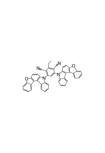 CCc1c(C#N)c(-n2c3ccccc3c3c4c(ccc32)oc2ccccc24)cc(-n2c3ccccc3c3c4c(ccc32)oc2ccccc24)c1C#N